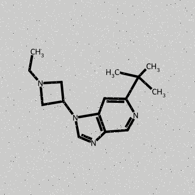 CCN1CC(n2cnc3cnc(C(C)(C)C)cc32)C1